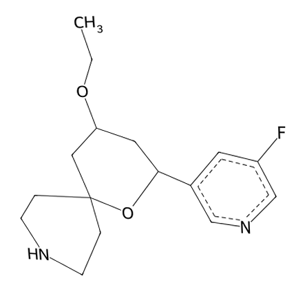 CCOC1CC(c2cncc(F)c2)OC2(CCNCC2)C1